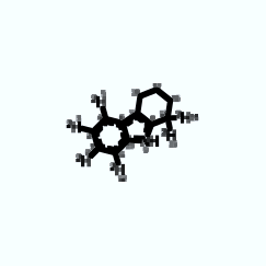 [2H]c1c([2H])c([2H])c2c3c([nH]c2c1[2H])C([2H])([2H])CCC3